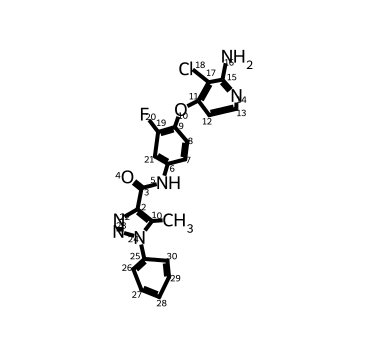 Cc1c(C(=O)Nc2ccc(Oc3ccnc(N)c3Cl)c(F)c2)nnn1-c1ccccc1